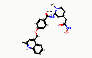 CCCN1CC[C@@H](CC(=O)NO)C[C@@]1(CCC)NC(=O)c1ccc(OCc2cc(C)nc3ccccc23)cc1